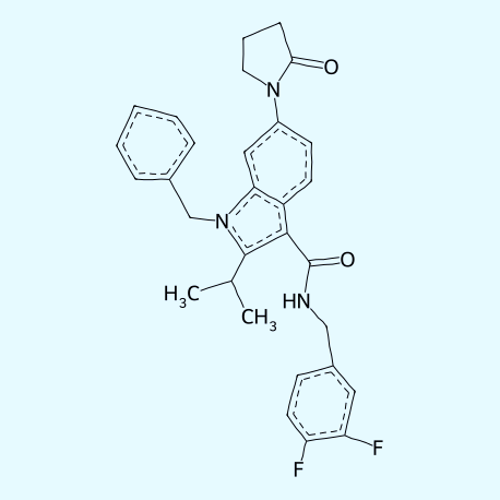 CC(C)c1c(C(=O)NCc2ccc(F)c(F)c2)c2ccc(N3CCCC3=O)cc2n1Cc1ccccc1